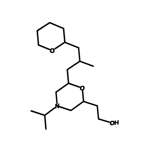 CC(CC1CCCCO1)CC1CN(C(C)C)CC(CCO)O1